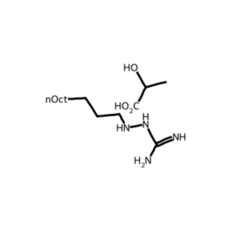 CC(O)C(=O)O.CCCCCCCCCCCNNC(=N)N